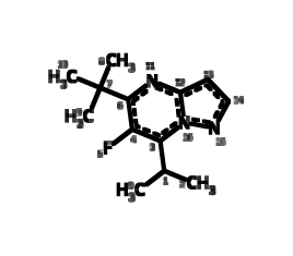 CC(C)c1c(F)c(C(C)(C)C)nc2ccnn12